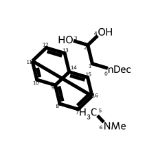 CCCCCCCCCCCC(O)O.CNC.c1cc2cc3ccc2cc13